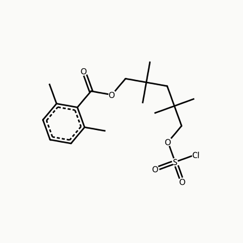 Cc1cccc(C)c1C(=O)OCC(C)(C)CC(C)(C)COS(=O)(=O)Cl